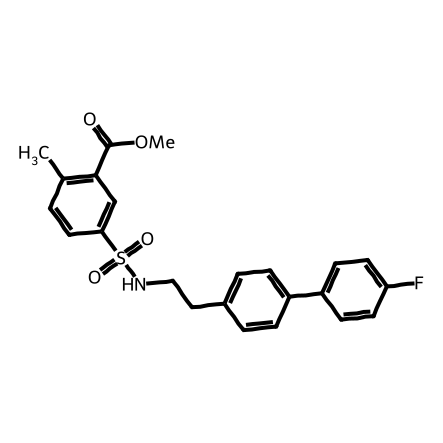 COC(=O)c1cc(S(=O)(=O)NCCc2ccc(-c3ccc(F)cc3)cc2)ccc1C